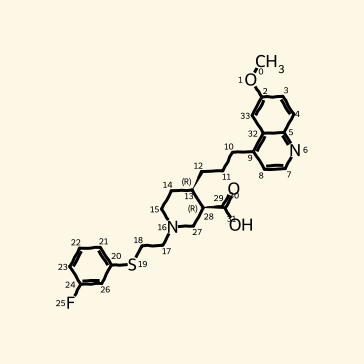 COc1ccc2nccc(CCC[C@@H]3CCN(CCSc4cccc(F)c4)C[C@@H]3C(=O)O)c2c1